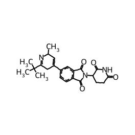 CC1C=C(c2ccc3c(c2)C(=O)N(C2CCC(=O)NC2=O)C3=O)CC(C(C)(C)C)=N1